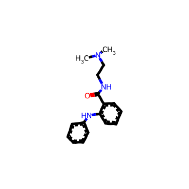 CN(C)CCNC(=O)c1ccccc1Nc1ccccc1